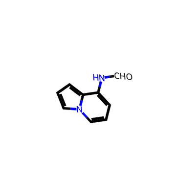 O=CNc1cccn2cccc12